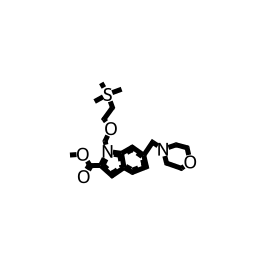 COC(=O)c1cc2ccc(CN3CCOCC3)cc2n1COCCS(C)(C)C